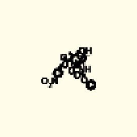 CC1=C(C(=O)OCc2ccc([N+](=O)[O-])cc2)N2C(=O)C(NC(=O)COc3ccccc3)[C@@H]2[S+]([O-])C1=CO